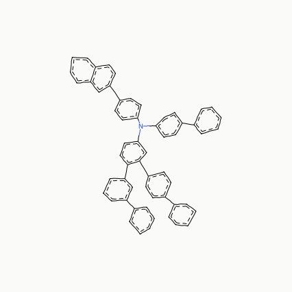 c1ccc(-c2ccc(-c3cc(N(c4ccc(-c5ccccc5)cc4)c4ccc(-c5ccc6ccccc6c5)cc4)ccc3-c3cccc(-c4ccccc4)c3)cc2)cc1